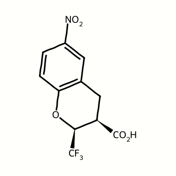 O=C(O)[C@@H]1Cc2cc([N+](=O)[O-])ccc2O[C@@H]1C(F)(F)F